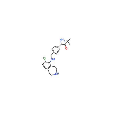 CC(C)(C)C(=O)C(N)c1ccc(CNc2c(Cl)ccc3c2CCNCC3)cc1